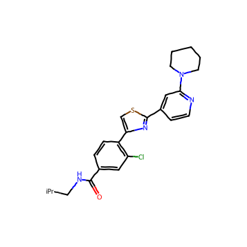 CC(C)CNC(=O)c1ccc(-c2csc(-c3ccnc(N4CCCCC4)c3)n2)c(Cl)c1